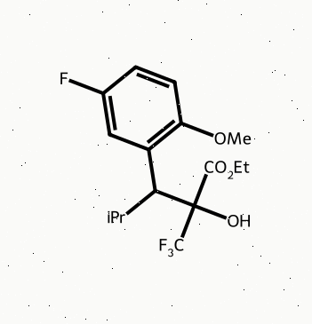 CCOC(=O)C(O)(C(c1cc(F)ccc1OC)C(C)C)C(F)(F)F